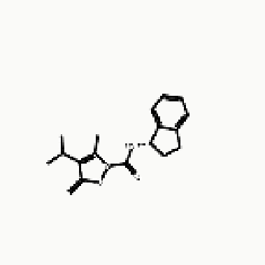 C=C1ON(C(=O)N[C@H]2CCc3ccccc32)C(C)=C1C(C)C